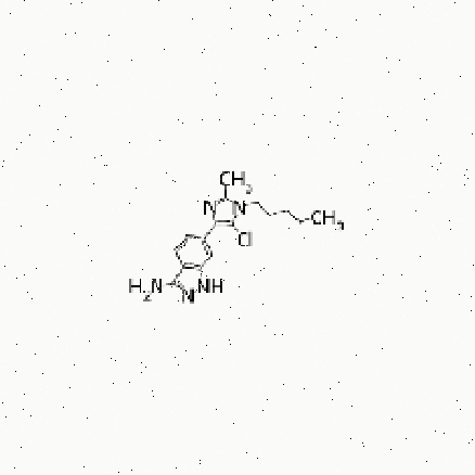 CCCCCn1c(C)nc(-c2ccc3c(N)n[nH]c3c2)c1Cl